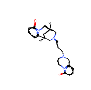 O=c1cccc2n1CCN(CCCN1C[C@@H]3C[C@H](C1)c1cccc(=O)n1C3)C2